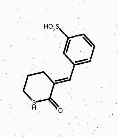 O=C1BCCCC1=Cc1cccc(S(=O)(=O)O)c1